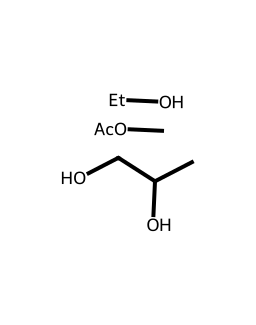 CC(O)CO.CCO.COC(C)=O